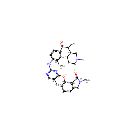 CCC(C(=O)c1ccc(Nc2ncc(C(F)(F)F)c(Oc3cccc4c3C(=O)N(OC)C4)n2)c(OC)c1)C1CCCN(C)C1